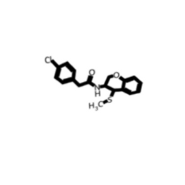 CSC1c2ccccc2OCC1NC(=O)Cc1ccc(Cl)cc1